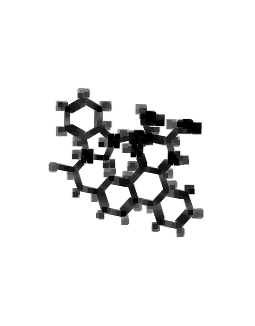 CC(Cc1ccc2c3ccccc3c3nc(C(C)(C)C)c(C(C)(C)C)nc3c2c1)N1CN(C(C)(C)C)c2ccccc21